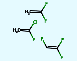 C=C(F)Cl.C=C(F)F.FC=C(F)F